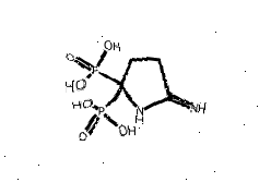 N=C1CCC(P(=O)(O)O)(P(=O)(O)O)N1